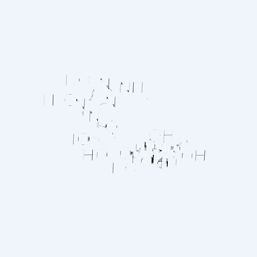 C[n+]1cn([C@@H]2O[C@H](COP(=O)(O)OP(=O)(OO)OP(=O)(O)O)C(O)[C@@H]2O)c2nc(N)nc(O)c21